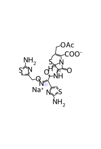 CC(=O)OCC1=C(C(=O)[O-])N2C(=O)[C@@H](NC(=O)/C(=N\OCc3csc(N)n3)c3csc(N)n3)[C@H]2SC1.[Na+]